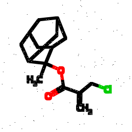 C=C(CCl)C(=O)OC1(C)C2CC3CC(C2)CC1C3